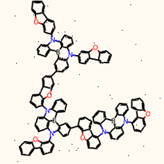 c1ccc2c(c1)B1c3cc(-c4ccc5c(c4)oc4c(N6c7ccccc7B7c8cc(-c9cccc%10c9oc9cccc(N%11c%12ccccc%12B%12c%13ccccc%13N(c%13cccc%14oc%15ccccc%15c%13%14)c%13cccc%11c%13%12)c9%10)ccc8N(c8cccc9c8oc8ccccc89)c8cccc6c87)cccc45)ccc3N(c3ccc4c(c3)oc3ccccc34)c3cccc(c31)N2c1ccc2c(c1)oc1ccccc12